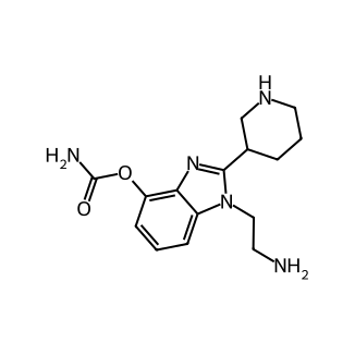 NCCn1c(C2CCCNC2)nc2c(OC(N)=O)cccc21